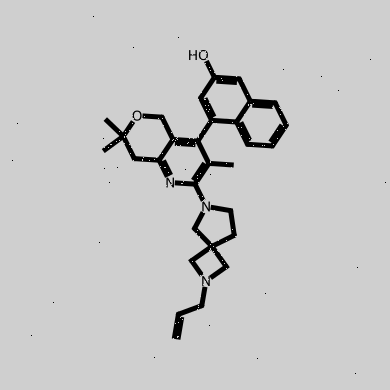 C=CCN1CC2(CCN(c3nc4c(c(-c5cc(O)cc6ccccc56)c3C)COC(C)(C)C4)C2)C1